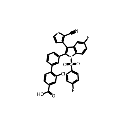 N#Cc1sccc1-c1c(-c2cccc(-c3ccc(C(=O)O)cc3Cl)c2)n(S(=O)(=O)c2ccc(F)cc2)c2ccc(F)cc12